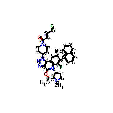 Cc1cc2c(nc(OC(C)[C@@H]3CCCN3C)c3nnn(C4CCN(C(=O)/C=C/CF)CC4)c32)c(F)c1-c1cccc2cccc(C#N)c12